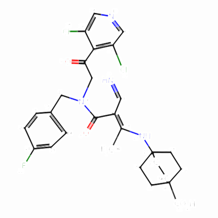 N=C/C(C(=O)N(CC(=O)c1c(Cl)cncc1Cl)Cc1ccc(F)cc1)=C(\NC12CCC(C(=O)O)(CC1)CC2)C(F)(F)F